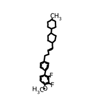 COc1ccc(-c2ccc(CC/C=C/C3CCC(C4CCC(C)CC4)CC3)cc2)c(F)c1F